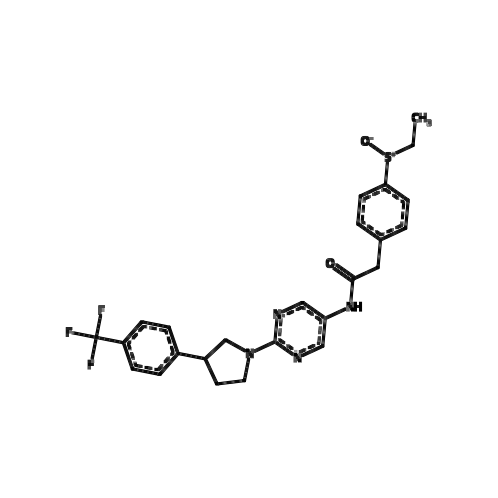 CC[S+]([O-])c1ccc(CC(=O)Nc2cnc(N3CCC(c4ccc(C(F)(F)F)cc4)C3)nc2)cc1